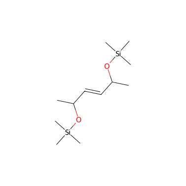 CC(/C=C/C(C)O[Si](C)(C)C)O[Si](C)(C)C